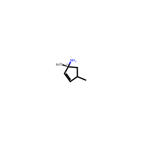 CC(=O)O[C@]1(N)C=CC(C)C1